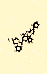 CO[C@@]1(Cn2ccc(-c3ccccc3)cc2=O)CCN(C(=O)N2CC[C@@H](N)C[C@H]2c2ccccc2)CC12CCCC2